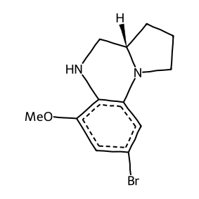 COc1cc(Br)cc2c1NC[C@@H]1CCCN21